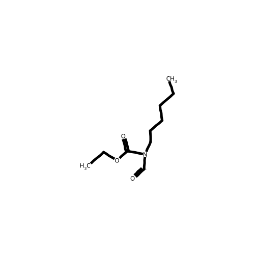 CCCCCCN([C]=O)C(=O)OCC